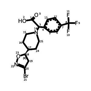 O=C(O)C(c1ccc(C(F)(F)F)cc1)N1CCC([C@H]2CC(Br)=NO2)CC1